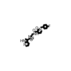 O=C(NCc1noc(-c2c[nH]c3ncccc23)n1)c1cccn(Cc2ccc(F)cc2)c1=O